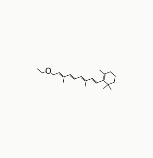 CCOC/C=C(C)/C=C/C=C(C)/C=C/C1=C(C)CCCC1(C)C